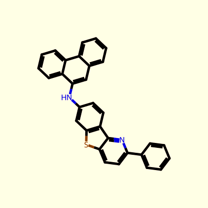 c1ccc(-c2ccc3sc4cc(Nc5cc6ccccc6c6ccccc56)ccc4c3n2)cc1